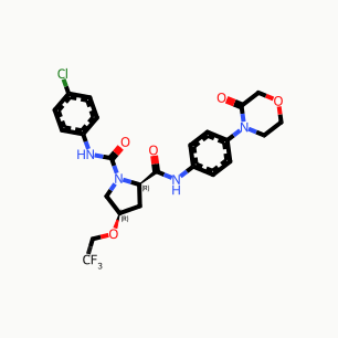 O=C(Nc1ccc(N2CCOCC2=O)cc1)[C@H]1C[C@@H](OCC(F)(F)F)CN1C(=O)Nc1ccc(Cl)cc1